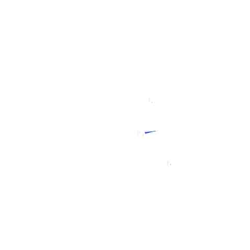 Clc1c(C2=NO[C@]3(CN4CCC3CC4)N2)sc2ccccc12